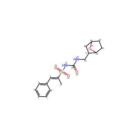 CC(=Cc1ccccc1)S(=O)(=O)NC(=O)NCC1CC2CCC1O2